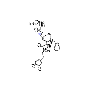 COc1ccc(CCNC(=O)c2nn(Cc3ccccc3)c3ccc(/C=C/C(=O)NO)cc23)cc1OC